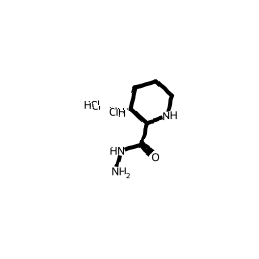 Cl.Cl.NNC(=O)C1[CH]CCCN1